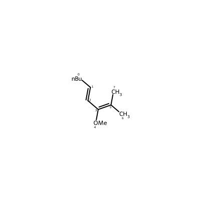 CCCCC=CC(OC)=C(C)C